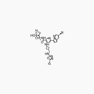 CC(C)(O)[C@H](F)CNC(=O)c1cnc(-c2ccc3cc(C#N)cnn23)cc1NC1CC(CNc2nnc(C3CC3)o2)C1